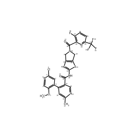 COc1cnc(Cl)cc1-c1cc(C)ncc1C(=O)Nc1nc2c(s1)CN(C(=O)c1nc(C(F)(F)F)ccc1F)C2